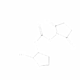 CCCC1SCC[C@H]1OC(=O)ON1C(=O)CCC1=O